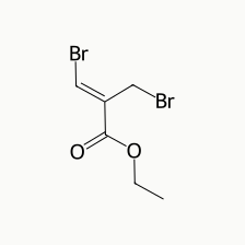 CCOC(=O)/C(=C/Br)CBr